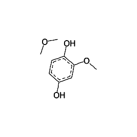 COC.COc1cc(O)ccc1O